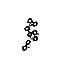 C1=CC2c3ccccc3N(c3cccc(-c4ccc(N(c5ccc6c(c5)oc5ccccc56)c5cccc6sc7ccccc7c56)cc4)c3)C2C=C1